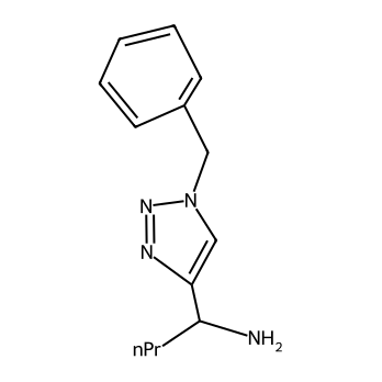 CCCC(N)c1cn(Cc2ccccc2)nn1